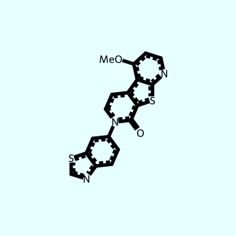 COc1ccnc2sc3c(=O)n(-c4ccc5ncsc5c4)ccc3c12